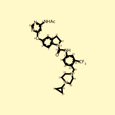 CC(=O)Nc1cc(Oc2ccc3c(c2)CCN3C(=O)Nc2ccc(CN3CCN(C4CC4)CC3)c(C(F)(F)F)c2)ncn1